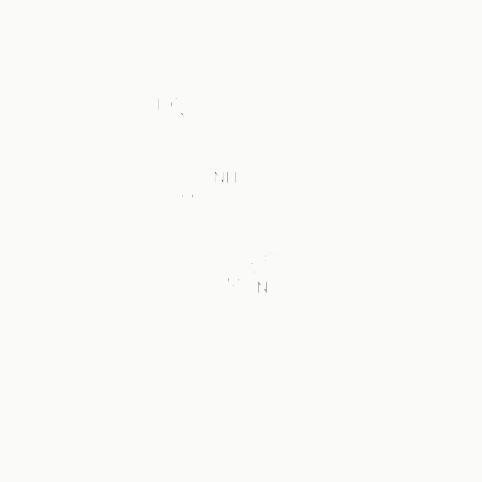 O=C(N[C@H]1CC[C@H](O)CC1)c1ccc(S(=O)(=O)n2cc(-c3ccccc3)c3ccccc32)cc1